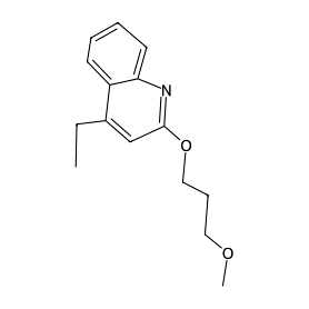 CCc1cc(OCCCOC)nc2ccccc12